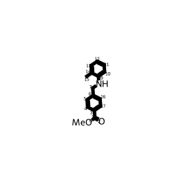 COC(=O)c1ccc(CNc2ccccc2C)cc1